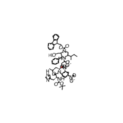 CCC(C)C(CN(C(=O)OCC1c2ccccc2-c2ccccc21)C(CO)Cc1ccccc1)NC(=O)CC(=O)[C@H](CC(C)C)N(C(=O)[C@H](Cc1c[nH]cn1)NC(=O)OC(C)(C)C)c1ccc([N+](=O)[O-])cc1[N+](=O)[O-]